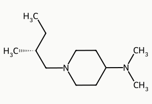 CC[C@@H](C)CN1CCC(N(C)C)CC1